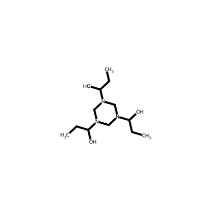 CCC(O)N1CN(C(O)CC)CN(C(O)CC)C1